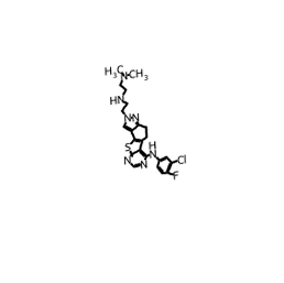 CN(C)CCNCCn1cc2c(n1)CCc1c-2sc2ncnc(Nc3ccc(F)c(Cl)c3)c12